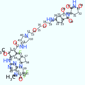 COc1cc(C(=O)NC2CCN(CCOCCOCCNc3ccc4c(c3)C(=O)N(C3CCC(=O)NC3=O)C4=O)CC2)c(F)cc1Nc1ncc2c(n1)N(C1CCCC1)CC(F)(F)C(=O)N2C